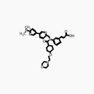 CN(C)c1ccc(-c2ccc(CN(C(=O)C3CCC(OCCN4CCOCC4)CC3)c3cccc(C=CC(=O)O)c3)nc2)cn1